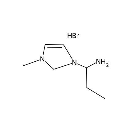 Br.CCC(N)N1C=CN(C)C1